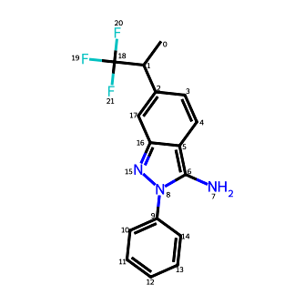 CC(c1ccc2c(N)n(-c3ccccc3)nc2c1)C(F)(F)F